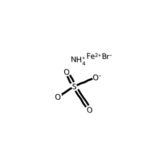 O=S(=O)([O-])[O-].[Br-].[Fe+2].[NH4+]